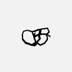 IC12CCCC3C4CCCCCC5C(CC1)C2(C4)C35I